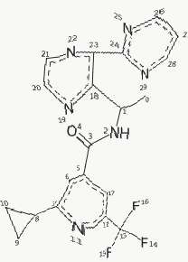 CC(NC(=O)c1cc(C2CC2)nc(C(F)(F)F)c1)c1nccnc1-c1ncccn1